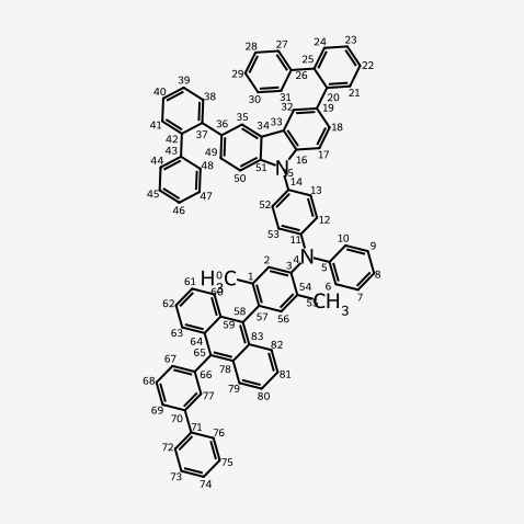 Cc1cc(N(c2ccccc2)c2ccc(-n3c4ccc(-c5ccccc5-c5ccccc5)cc4c4cc(-c5ccccc5-c5ccccc5)ccc43)cc2)c(C)cc1-c1c2ccccc2c(-c2cccc(-c3ccccc3)c2)c2ccccc12